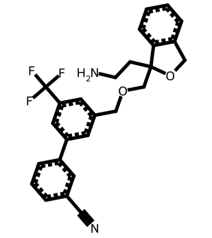 N#Cc1cccc(-c2cc(COCC3(CCN)OCc4ccccc43)cc(C(F)(F)F)c2)c1